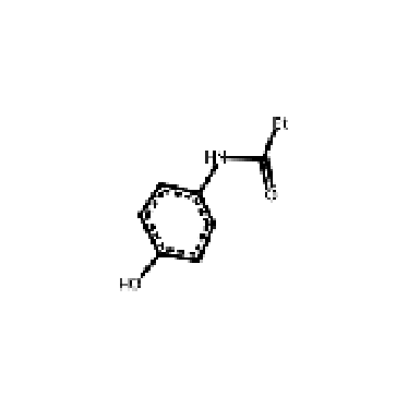 [CH2]CC(=O)Nc1ccc(O)cc1